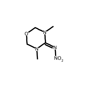 CN1COCN(C)C1=N[N+](=O)[O-]